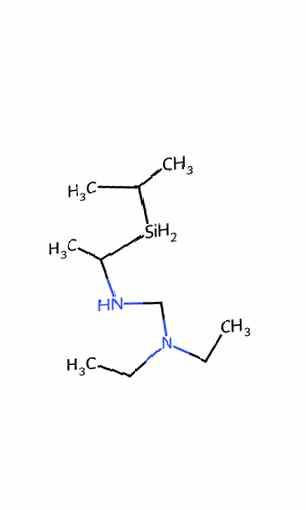 CCN(CC)CNC(C)[SiH2]C(C)C